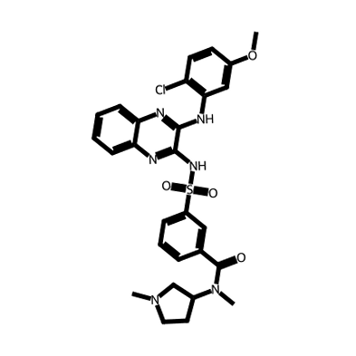 COc1ccc(Cl)c(Nc2nc3ccccc3nc2NS(=O)(=O)c2cccc(C(=O)N(C)C3CCN(C)C3)c2)c1